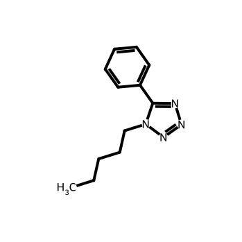 CCCCCn1nnnc1-c1ccccc1